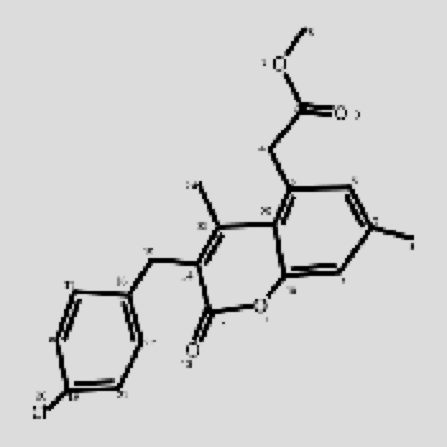 COC(=O)Cc1cc(C)cc2oc(=O)c(Cc3ccc(Cl)cc3)c(C)c12